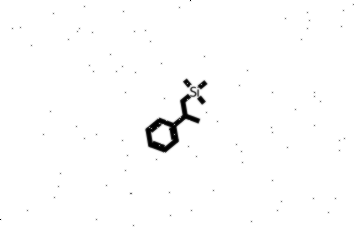 CC(C[Si](C)(C)C)c1ccccc1